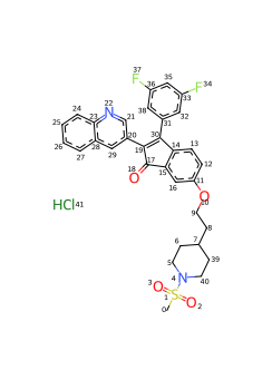 CS(=O)(=O)N1CCC(CCOc2ccc3c(c2)C(=O)C(c2cnc4ccccc4c2)=C3c2cc(F)cc(F)c2)CC1.Cl